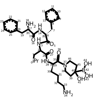 CC(C)CC(NC(=O)[C@@H](Cc1ccccc1)NC(=O)[C@H](N)Cc1ccccc1)C(=O)N[C@H](CCCCN)C(=O)N1CCC(O)(B(O)O)CC1